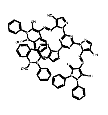 C/C(N=Nc1c(C#N)cnn1-c1nc(-n2ncc(C#N)c2N=N/C(C)=C(\O)N(c2ccccc2)N(C=O)c2ccccc2)nc(-n2ncc(C#N)c2N=Nc2c(O)n(-c3ccccc3)n(-c3ccccc3)c2=O)n1)=C(/O)N(c1ccccc1)N(C=O)c1ccccc1